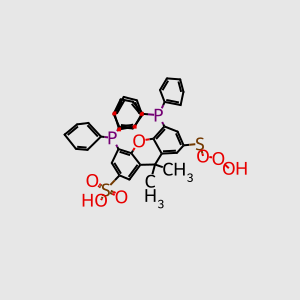 CC1(C)c2cc(SOOO)cc(P(c3ccccc3)c3ccccc3)c2Oc2c(P(c3ccccc3)c3ccccc3)cc(S(=O)(=O)O)cc21